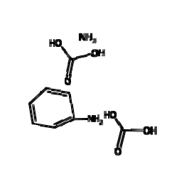 N.Nc1ccccc1.O=C(O)O.O=C(O)O